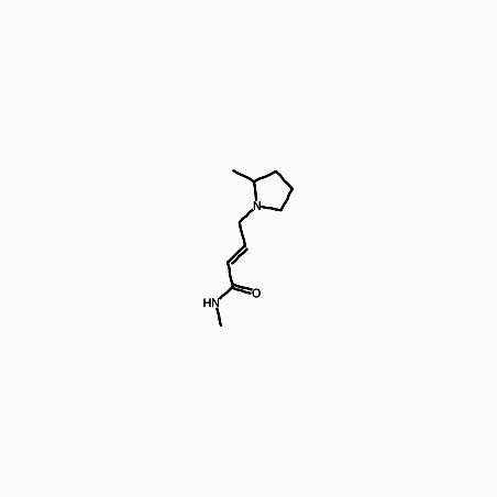 CNC(=O)/C=C/CN1CCCC1C